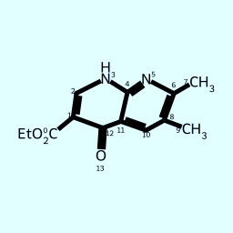 CCOC(=O)c1c[nH]c2nc(C)c(C)cc2c1=O